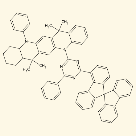 CC1(C)c2ccccc2N(c2nc(-c3ccccc3)nc(-c3cccc4c3-c3ccccc3C43c4ccccc4-c4ccccc43)n2)c2cc3c(cc21)N(c1ccccc1)C1CCCCC1C3(C)C